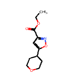 CCOC(=O)c1cc(C2CCOCC2)on1